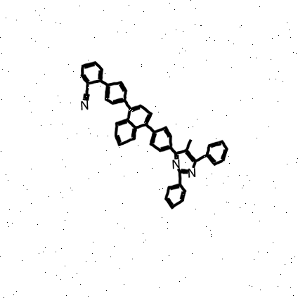 Cc1c(-c2ccccc2)nc(-c2ccccc2)nc1-c1ccc(-c2ccc(-c3ccc(-c4ccccc4C#N)cc3)c3ccccc23)cc1